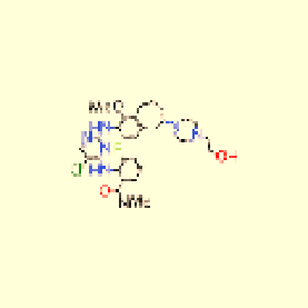 CNC(=O)c1cccc(F)c1Nc1nc(Nc2ccc3c(c2OC)CCC[C@@H](N2CCN(CCO)CC2)C3)ncc1Cl